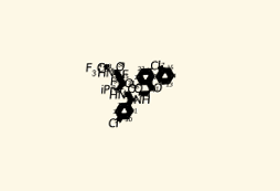 CC(C)[C@H](NC(=O)[C@@H](NC(=O)C[C@H](Oc1cccc(Cl)c1)c1ccccc1)c1ccc(Cl)cc1)C(=O)C(F)(F)C(=O)NCC(F)(F)F